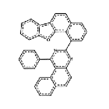 c1ccc(-c2nc(-c3cccc4ccc5c6ccccc6oc5c34)nc3ccc4ccccc4c23)cc1